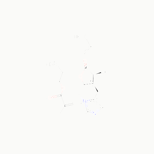 C=C(C)C(=O)OCCCCCCCCCCCC.C=CC(=O)O.CC[C@@H]1C(=O)OC[C@@H]1Cc1cncn1C